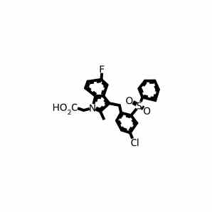 Cc1c(Cc2ccc(Cl)cc2S(=O)(=O)c2ccccc2)c2cc(F)ccc2n1CC(=O)O